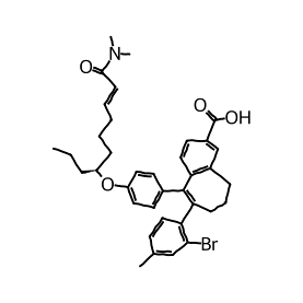 CCC[C@@H](CCC/C=C/C(=O)N(C)C)Oc1ccc(C2=C(c3ccc(C)cc3Br)CCCc3cc(C(=O)O)ccc32)cc1